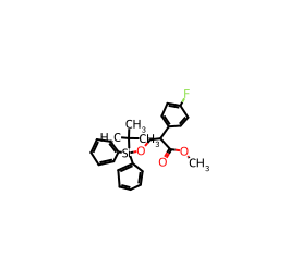 COC(=O)C(CO[Si](c1ccccc1)(c1ccccc1)C(C)(C)C)c1ccc(F)cc1